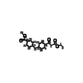 CCOC(=O)CC(=O)c1ccc(Cc2ccc(C(=O)OC)cc2)cc1